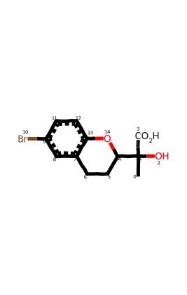 CC(O)(C(=O)O)C1CCc2cc(Br)ccc2O1